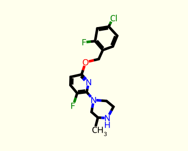 CC1CN(c2nc(OCc3ccc(Cl)cc3F)ccc2F)CCN1